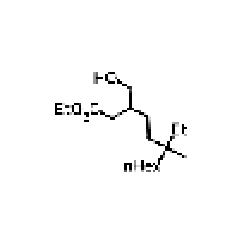 CCCCCCC(C)(CC)CC[C@H](CO)CC(=O)OCC